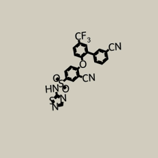 N#Cc1cccc(-c2cc(C(F)(F)F)ccc2Oc2ccc(S(=O)(=O)Nc3ncns3)cc2C#N)c1